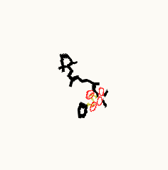 CCOC(C=C(C)CCC=C(C)C=CC1=C(C)CCCC1(C)C)(OCC)S(=O)(=O)c1ccccc1